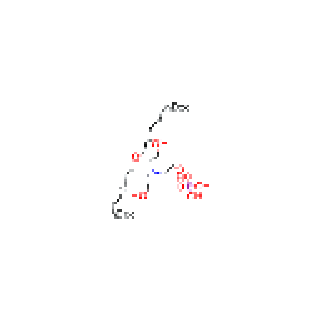 CCCCCCCCCCCCCCCCOCCCCCCCCCCCCCCCC.O=P(O)(O)O.OCCN(CCO)CCO